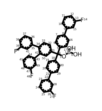 OB(O)OC(c1ccc(-c2cccc(F)c2)cc1)(c1ccc(-c2cccc(F)c2)cc1)c1ccc(-c2cccc(F)c2)c(-c2cccc(F)c2)c1